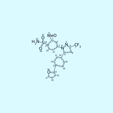 COc1cc(-n2nc(C(F)(F)F)cc2-c2ccc(-c3ccco3)cc2)ccc1S(N)(=O)=O